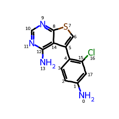 Nc1ccc(-c2csc3ncnc(N)c23)c(Cl)c1